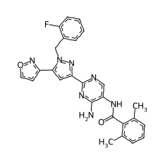 Cc1cccc(C)c1C(=O)Nc1cnc(-c2cc(-c3ccon3)n(Cc3ccccc3F)n2)nc1N